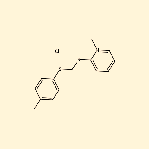 Cc1ccc(SCSc2cccc[n+]2C)cc1.[Cl-]